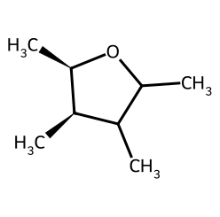 CC1O[C@H](C)[C@H](C)C1C